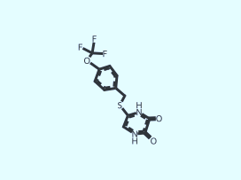 O=c1[nH]cc(SCc2ccc(OC(F)(F)F)cc2)[nH]c1=O